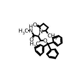 CNC(=O)[C@H]([C@@H](C)OC(c1ccccc1)(c1ccccc1)c1ccccc1)N1C(=O)CCC1C